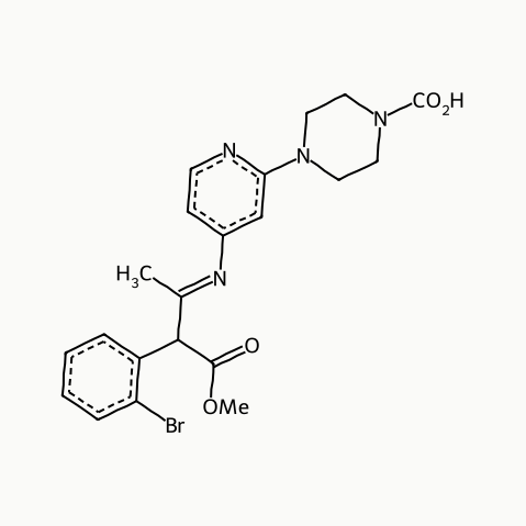 COC(=O)C(C(C)=Nc1ccnc(N2CCN(C(=O)O)CC2)c1)c1ccccc1Br